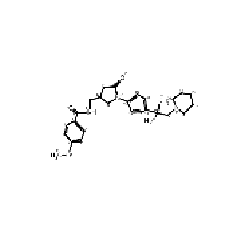 COc1ccc(C(=O)NCC2CC(=O)N(c3ccc(C(C)(C)CN4CCCCC4)cc3)C2)cc1